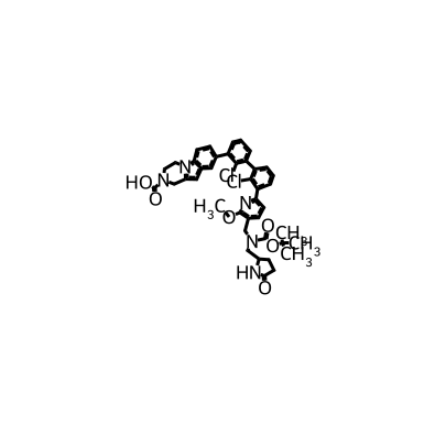 COc1nc(-c2cccc(-c3cccc(-c4ccc5c(c4)cc4n5CCN(C(=O)O)C4)c3Cl)c2Cl)ccc1CN(CC1CCC(=O)N1)C(=O)OC(C)(C)C